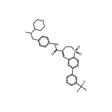 CN(Cc1ccc(NC(=O)C2=Cc3cc(-c4cccc(C(F)(F)F)c4)ccc3S(=O)(=O)CC2)cc1)C1CCOCC1